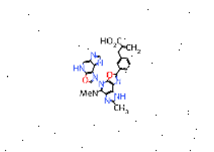 C=C(Cc1cccc(-c2nc3c(nc(NC)c4nc(C)[nH]c43)o2)c1)C(=O)O.c1nc2c[nH]c3ocnc3c-2n1